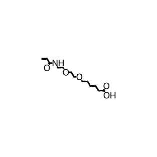 C=CC(=O)NCCOCCOCCCCCC(=O)O